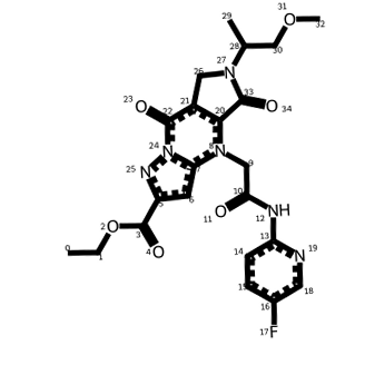 CCOC(=O)c1cc2n(CC(=O)Nc3ccc(F)cn3)c3c(c(=O)n2n1)CN(C(C)COC)C3=O